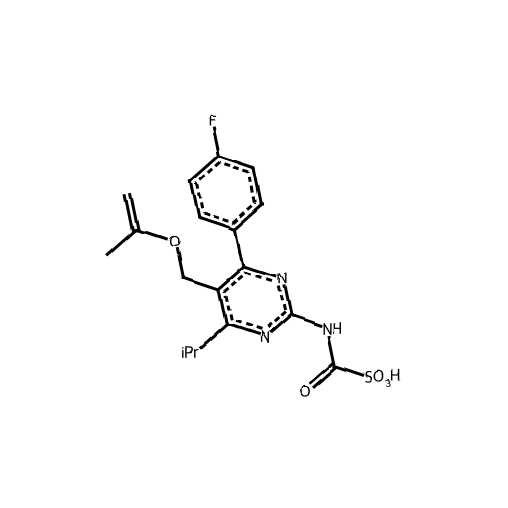 C=C(C)OCc1c(-c2ccc(F)cc2)nc(NC(=O)S(=O)(=O)O)nc1C(C)C